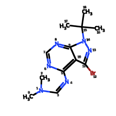 CN(C)/C=N\c1ncnc2c1c(Br)nn2C(C)(C)C